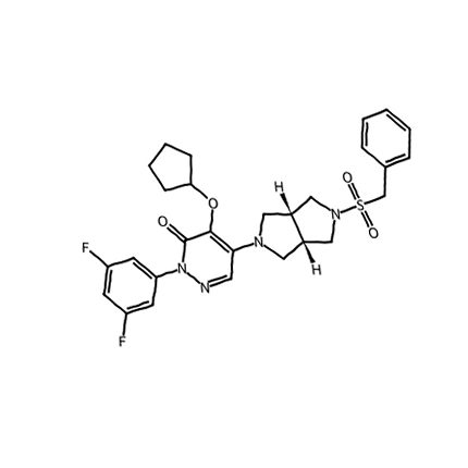 O=c1c(OC2CCCC2)c(N2C[C@@H]3CN(S(=O)(=O)Cc4ccccc4)C[C@@H]3C2)cnn1-c1cc(F)cc(F)c1